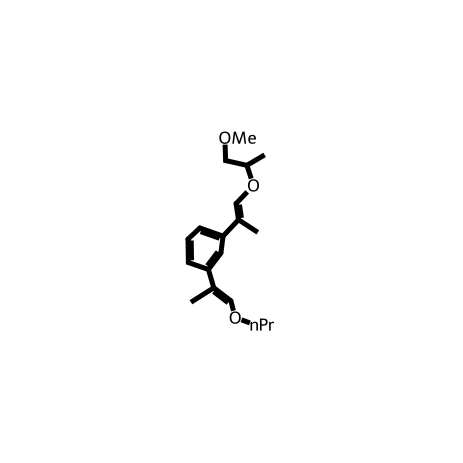 CCCOC=C(C)c1cccc(C(C)=COC(C)COC)c1